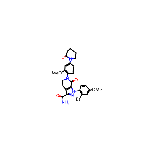 CCc1cc(OC)ccc1-n1nc(C(N)=O)c2c1C(=O)N(c1ccc(N3CCCCC3=O)cc1OC)CC2